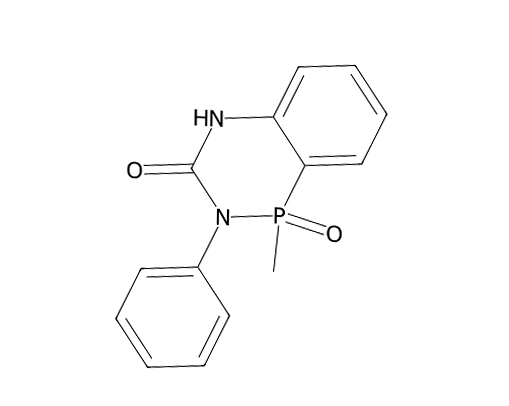 CP1(=O)c2ccccc2NC(=O)N1c1ccccc1